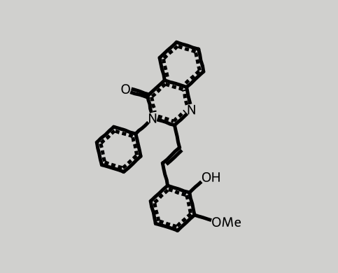 COc1cccc(/C=C/c2nc3ccccc3c(=O)n2-c2ccccc2)c1O